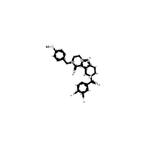 COc1ccc(CN2CCn3nc4c(c3C2=O)CN(C(=O)c2ccc(F)c(F)c2)CC4)cc1